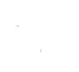 Brc1ccccc1-c1ccc2c(c1)c1ccccc1n2-c1ccccc1